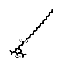 CCCCCCCCCCCCCCCCCOC(=O)CCc1cc(C(C)C)c(O)c(C(C)C)c1